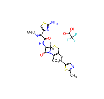 CON=C(C(=O)NC1C(=O)N2C(C(=O)O)=C(C=Cc3cnc(C)s3)CS[C@@H]12)c1csc(N)n1.O=C(O)C(F)(F)F